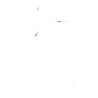 CS[C@H]1O[C@@H](c2ccc(C)c(Cc3ccc(C45CCC(F)(F)C(C4)C5)s3)c2)[C@H](O)[C@@H](O)[C@@H]1O